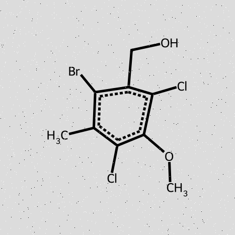 COc1c(Cl)c(C)c(Br)c(CO)c1Cl